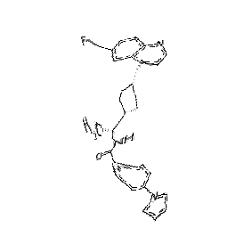 C[C@@H](NC(=O)c1ccc(-n2cccc2)cc1)[C@H]1CC[C@@H](c2ccnc3ccc(F)cc32)CC1